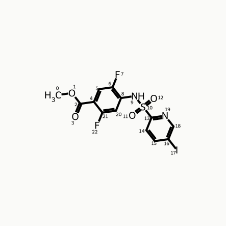 COC(=O)c1cc(F)c(NS(=O)(=O)c2ccc(I)cn2)cc1F